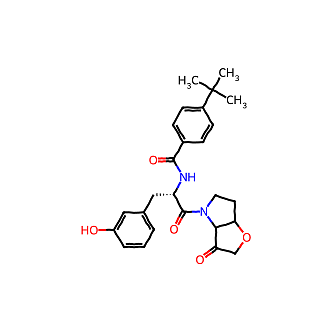 CC(C)(C)c1ccc(C(=O)N[C@@H](Cc2cccc(O)c2)C(=O)N2CCC3OCC(=O)C32)cc1